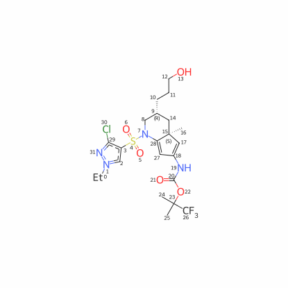 CCn1cc(S(=O)(=O)N2C[C@H](CCCO)C[C@@]3(C)C=C(NC(=O)OC(C)(C)C(F)(F)F)C=C23)c(Cl)n1